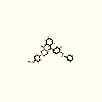 COc1ccc(N2CCN(C(c3ccc(OCc4ccccc4)c(F)c3)c3ccccc3O)CC2)cc1